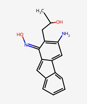 CC(O)CC1=C(N)C=C2C(=Cc3ccccc32)C1=NO